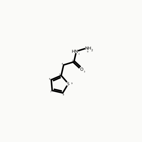 NNC(=O)Cc1cccs1